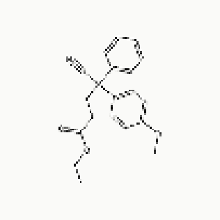 CCOC(=O)CCC(C#N)(c1ccccc1)c1ccc(OC)cc1